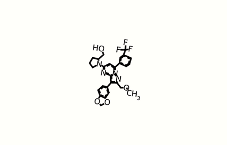 COCc1nn2c(-c3cccc(C(F)(F)F)c3)cc(N3CCCC3CO)nc2c1-c1ccc2c(c1)OCO2